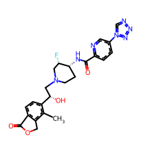 Cc1c([C@@H](O)CN2CC[C@@H](NC(=O)c3ccc(-n4cnnn4)cn3)[C@@H](F)C2)ccc2c1COC2=O